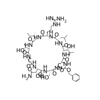 CC[C@H](C)[C@@H]1NC(=O)[C@@H](CCCNC(=N)N)NC(=O)[C@H](CC(C)C)NC(=O)[C@H]([C@H](O)C(C)C)NC(=O)[C@@H](NC(=O)OCc2ccccc2)CNC(=O)[C@H](CO)NC(=O)[C@H]([C@H](O)C(N)=O)NC(=O)CNC(=O)[C@H]([C@H](C)O)NC1=O